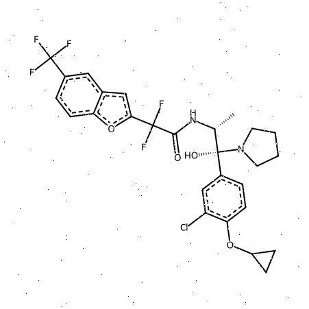 C[C@@H](NC(=O)C(F)(F)c1cc2cc(C(F)(F)F)ccc2o1)[C@](O)(c1ccc(OC2CC2)c(Cl)c1)N1CCCC1